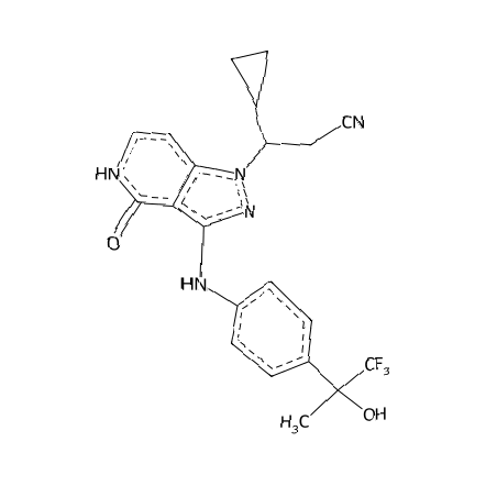 CC(O)(c1ccc(Nc2nn(C(CC#N)C3CC3)c3cc[nH]c(=O)c23)cc1)C(F)(F)F